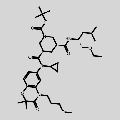 CCOC[C@@H](CC(C)C)NC(=O)[C@H]1C[C@@H](C(=O)N(c2ccc3c(c2)N(CCCOC)C(=O)C(C)(C)O3)C2CC2)CN(C(=O)OC(C)(C)C)C1